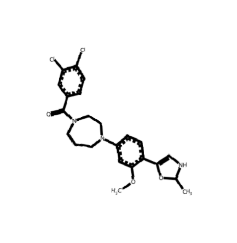 COc1cc(N2CCCN(C(=O)c3ccc(Cl)c(Cl)c3)CC2)ccc1C1=CNC(C)O1